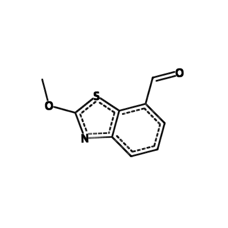 COc1nc2cccc(C=O)c2s1